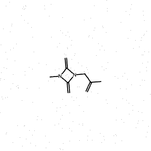 C=C(C)Cn1c(=C)n(C)c1=C